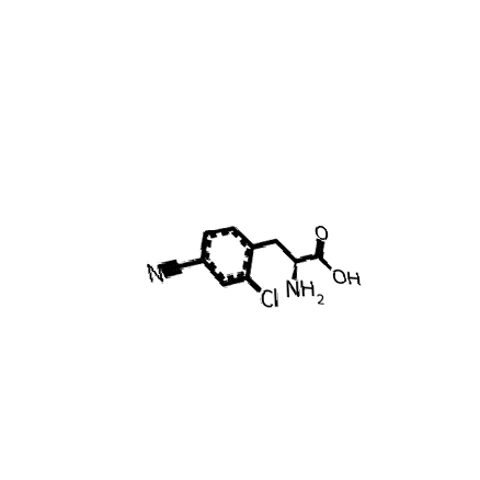 N#Cc1ccc(C[C@H](N)C(=O)O)c(Cl)c1